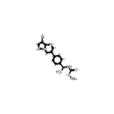 CC(NC(=O)OC(C)(C)C)c1ccc(-c2cnc3c(Br)cnn3c2)cc1